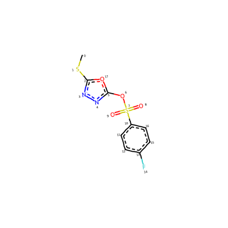 CSc1nnc(OS(=O)(=O)c2ccc(F)cc2)o1